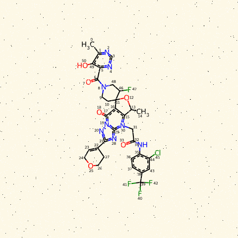 Cc1ncnc(C(=O)N2CCC3(OC(C)c4c3c(=O)n3nc(C5=CCOCC5)nc3n4CC(=O)Nc3ccc(C(F)(F)F)cc3Cl)C(F)C2)c1O